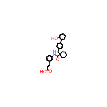 O=C(O)/C=C/c1cccc(NC(=O)C2(Cc3ccc(-c4ccccc4O)cc3)CCCCC2)c1